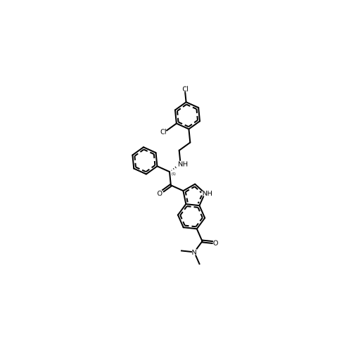 CN(C)C(=O)c1ccc2c(C(=O)[C@@H](NCCc3ccc(Cl)cc3Cl)c3ccccc3)c[nH]c2c1